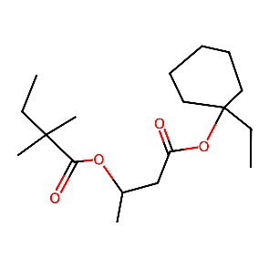 CCC1(OC(=O)CC(C)OC(=O)C(C)(C)CC)CCCCC1